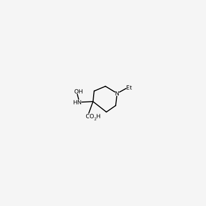 CCN1CCC(NO)(C(=O)O)CC1